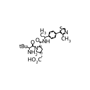 Cc1ncsc1-c1ccc(C(C)NC(=O)[C@@H]2C[C@H](CC(=O)O)CN2C(=O)C(N)C(C)(C)C)cc1